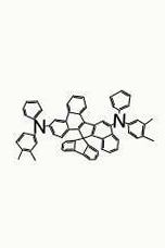 Cc1ccc(N(c2ccccc2)c2ccc3c4c(c5ccccc5c3c2)-c2cc(N(c3ccccc3)c3ccc(C)c(C)c3)c3ccccc3c2C42c3ccccc3-c3ccccc32)cc1C